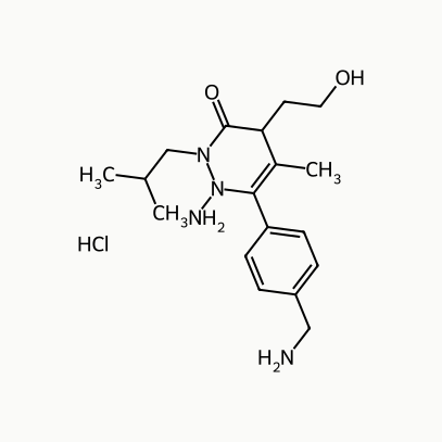 CC1=C(c2ccc(CN)cc2)N(N)N(CC(C)C)C(=O)C1CCO.Cl